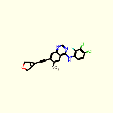 O=[N+]([O-])c1cc2c(Nc3ccc(Cl)c(Cl)c3F)ncnc2cc1C#CC1C2COCC12